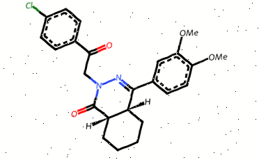 COc1ccc(C2=NN(CC(=O)c3ccc(Cl)cc3)C(=O)[C@H]3CCCC[C@@H]23)cc1OC